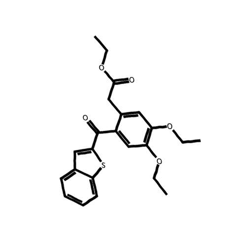 CCOC(=O)Cc1cc(OCC)c(OCC)cc1C(=O)c1cc2ccccc2s1